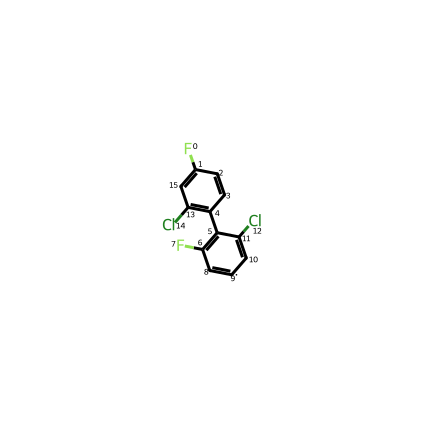 Fc1ccc(-c2c(F)c[c]cc2Cl)c(Cl)c1